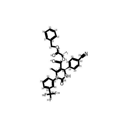 CC1=C(C(=O)O[C@@H](C)C(=O)OCc2ccccc2)[C@@H](c2ccc(C#N)cc2)NC(=O)N1c1cccc(C(F)(F)F)c1